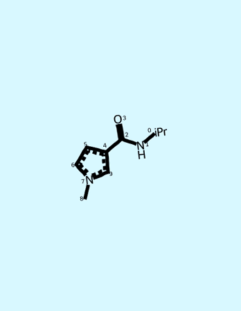 CC(C)NC(=O)c1ccn(C)c1